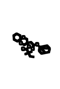 CCC(C)(C)C(=O)OC1(CC(=O)OC2C3CC4CC(C3)CC2C4)COC2(CCCCC2)OC1